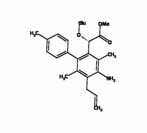 C=CCc1c(C)c(-c2ccc(C)cc2)c([C@H](OC(C)(C)C)C(=O)OC)c(C)c1N